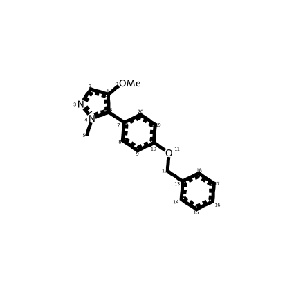 COc1cnn(C)c1-c1ccc(OCc2ccccc2)cc1